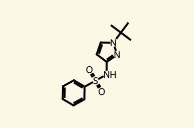 CC(C)(C)n1ccc(NS(=O)(=O)c2ccccc2)n1